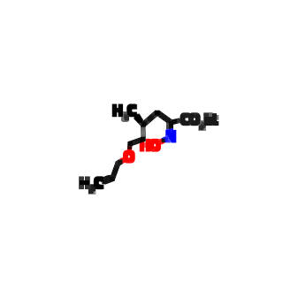 C=CCOCC[C@@H](C)CC(=NO)C(=O)OCC